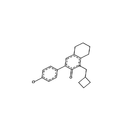 O=c1c(-c2ccc(Cl)cc2)cc2c(n1CC1CCC1)CCCC2